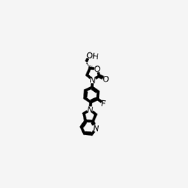 O=C1O[C@@H](CO)CN1c1ccc(N2Cc3cccnc3C2)c(F)c1